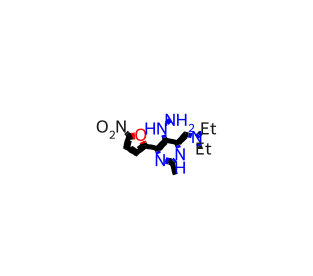 CCN(C=C1NC(C)=NC(c2ccc([N+](=O)[O-])o2)=C1NN)CC